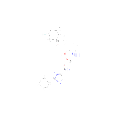 C[C@H](NC(=O)c1c[nH]c(-c2ccccc2)n1)C(=O)N[C@@H](CC(=O)O)C(=O)COc1c(F)c(F)cc(F)c1F